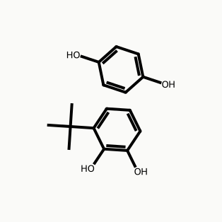 CC(C)(C)c1cccc(O)c1O.Oc1ccc(O)cc1